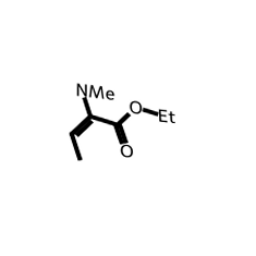 CC=C(NC)C(=O)OCC